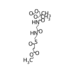 CCOC(=O)/C=C/C(=O)SCCNC(=O)CCNC(=O)[C@@H]1OC(=O)OCC1(C)C